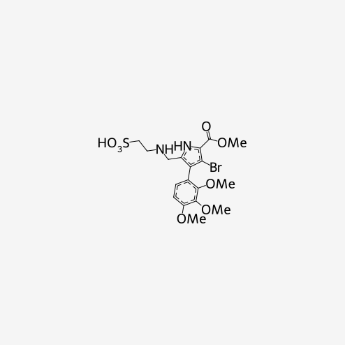 COC(=O)c1[nH]c(CNCCS(=O)(=O)O)c(-c2ccc(OC)c(OC)c2OC)c1Br